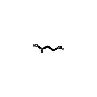 NCCBO